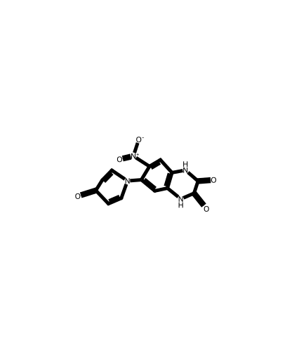 O=c1ccn(-c2cc3[nH]c(=O)c(=O)[nH]c3cc2[N+](=O)[O-])cc1